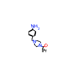 CC(C)C(=O)N1CCN(Cc2ccc(N)cc2)CC1